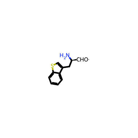 N[C@@H]([C]=O)Cc1csc2ccccc12